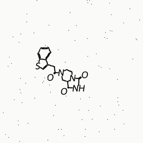 O=C1NCC(=O)N2CCN(C(=O)Cc3csc4ccccc34)CC12